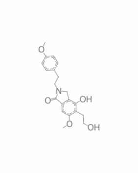 COc1ccc(CCN2Cc3c(cc(OC)c(CCO)c3O)C2=O)cc1